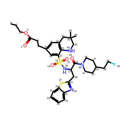 CCCOC(=O)CCc1cc2c(c(S(=O)(=O)NC(Cc3nc4ccccc4s3)C(=O)N3CCC(CCF)CC3)c1)NCC(C)(C)C2